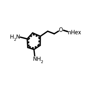 CCCCCCOCCc1cc(N)cc(N)c1